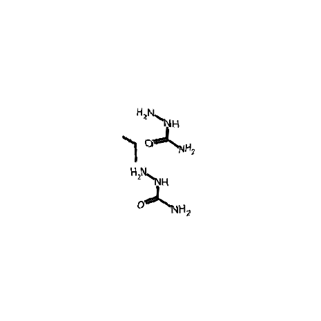 CCC.NNC(N)=O.NNC(N)=O